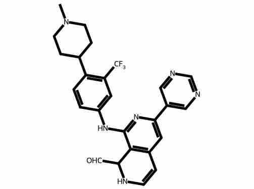 CN1CCC(c2ccc(Nc3nc(-c4cncnc4)cc4c3C(C=O)NC=C4)cc2C(F)(F)F)CC1